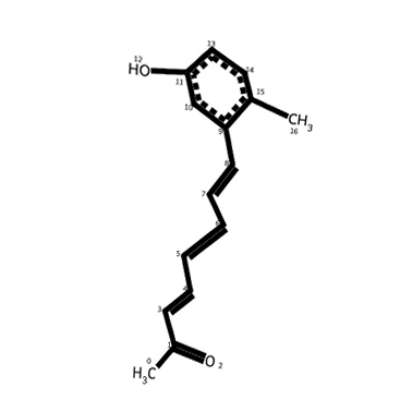 CC(=O)/C=C/C=C/C=C/c1cc(O)ccc1C